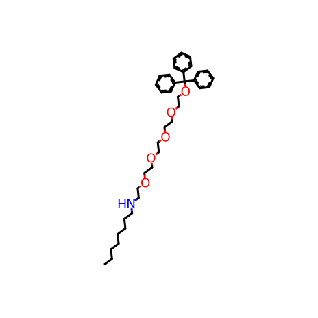 CCCCCCCCNCCOCCOCCOCCOCCOC(c1ccccc1)(c1ccccc1)c1ccccc1